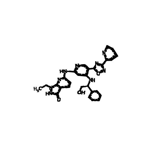 CCn1[nH]c(=O)c2ccc(Nc3cc(N[C@H](CO)c4ccccc4)c(-c4nc(-c5ccccn5)no4)cn3)nc21